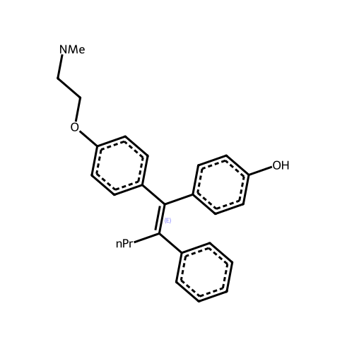 CCC/C(=C(/c1ccc(O)cc1)c1ccc(OCCNC)cc1)c1ccccc1